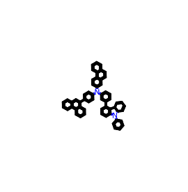 C1=CC2c3c(-c4cccc(N(c5ccc(-c6cc7ccccc7c7ccccc67)cc5)c5ccc6c(ccc7ccccc76)c5)c4)cccc3N(c3ccccc3)C2C=C1